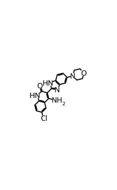 Nc1c(-c2nc3cc(N4CCOCC4)ccc3[nH]2)c(=O)[nH]c2ccc(Cl)cc12